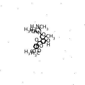 CCc1c(O)cc(O)c(C(=O)c2ccc(OC)c(OC)c2)c1CC(=O)N(CCOC)CC(C)(C)N